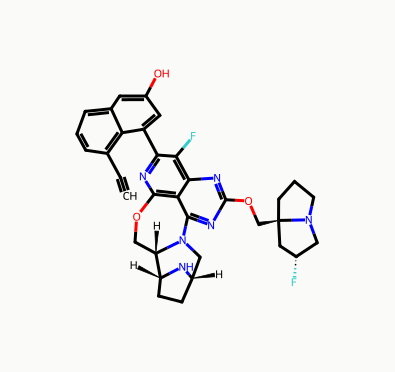 C#Cc1cccc2cc(O)cc(-c3nc4c5c(nc(OC[C@@]67CCCN6C[C@H](F)C7)nc5c3F)N3C[C@@H]5CC[C@@H](N5)[C@@H]3CO4)c12